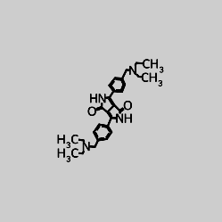 CCN(CC)Cc1ccc(C2=C3C(=O)NC(c4ccc(CN(CC)CC)cc4)=C3C(=O)N2)cc1